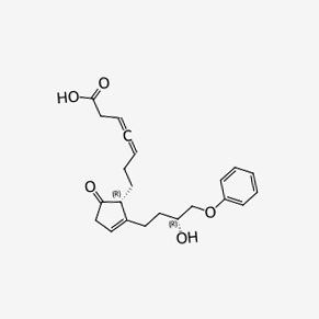 O=C(O)CC=C=CCC[C@H]1C(=O)CC=C1CC[C@@H](O)COc1ccccc1